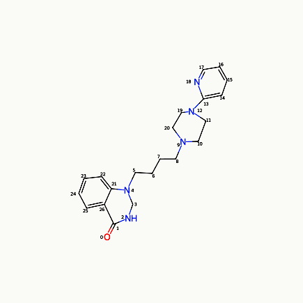 O=C1NCN(CCCCN2CCN(c3ccccn3)CC2)c2ccccc21